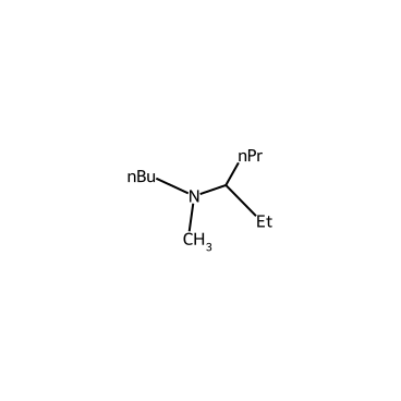 CCCCN(C)C(CC)CCC